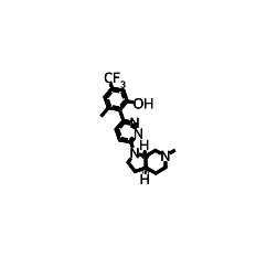 Cc1cc(C(F)(F)F)cc(O)c1-c1ccc(N2CC[C@@H]3CCN(C)C[C@H]32)nn1